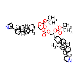 CC(C)OC(=O)OC(COC(=O)OCC(OC(=O)OC(C)C)[C@H]1CC[C@@]2(C)C(=CC[C@@H]3[C@@H]2CC[C@]2(C)C(c4cccnc4)=CC[C@@H]32)C1)[C@H]1CC[C@@]2(C)C(=CC[C@@H]3[C@@H]2CC[C@]2(C)C(c4cccnc4)=CC[C@@H]32)C1